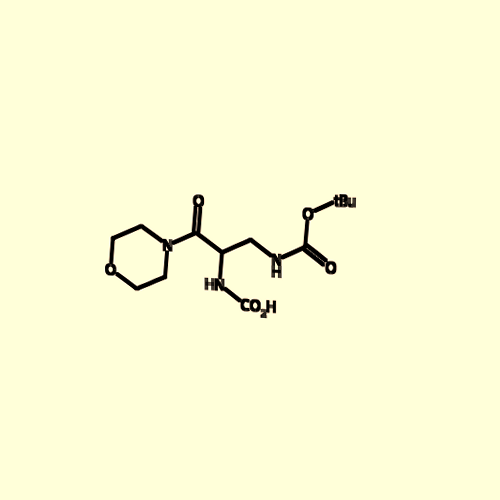 CC(C)(C)OC(=O)NCC(NC(=O)O)C(=O)N1CCOCC1